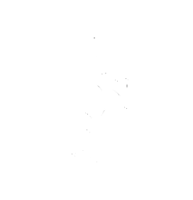 CC1(N)CCN(c2ccc(-c3cc(OCCO)cn4ncc(C#N)c34)cn2)CC1